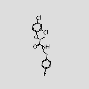 CC(Oc1ccc(Cl)cc1Cl)C(=O)NCCc1ccc(F)cc1